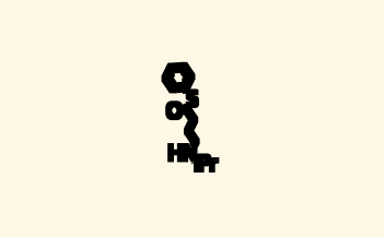 CC(C)NCCCC(=O)Sc1ccccc1